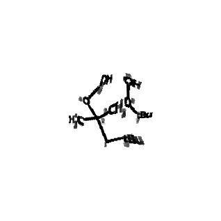 CC(C)(C)CC(C)(C)OO.CC(C)(C)OO